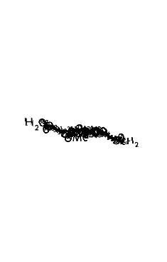 C=CC(=O)OCCCCCCOc1ccc(-c2ccc(OC(=O)c3ccc(OCCCCCCOC(=O)C=C)c(OC)c3)cc2)cc1